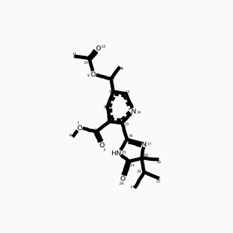 COC(=O)c1cc(C(C)OC(C)=O)cnc1C1=NC(C)(C(C)C)C(=O)N1